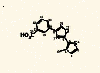 Cc1ccsc1-c1nc(-c2cccc(C(=O)O)c2)no1